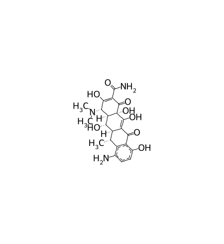 C[C@H]1c2c(N)ccc(O)c2C(=O)C2=C(O)[C@]3(O)C(=O)C(C(N)=O)=C(O)[C@@H](N(C)C)[C@@H]3[C@@H](O)[C@@H]21